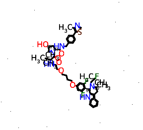 Cc1ncsc1-c1ccc(CNC(=O)[C@@H]2C[C@@H](O)CN2C(=O)C(NC(=O)COCCCCOc2cc(F)c([C@@H]3c4[nH]c5ccccc5c4C[C@@H](C)N3CC(C)(C)F)c(F)c2)C(C)(C)C)cc1